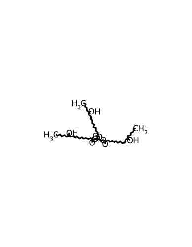 CCCCCCC(O)C/C=C\CCCCCCCC(=O)OCC(COC(=O)CCCCCCC/C=C/CC(O)CCCCCC)OC(=O)CCCCCCC/C=C/CC(O)CCCCC